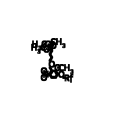 COc1c(O[CH2][Rf])ccc([N+](=O)[O-])c1COCCCC[Si](OC)(OC)OC